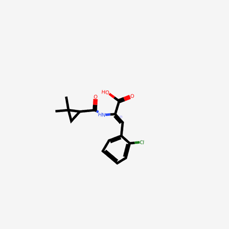 CC1(C)CC1C(=O)N/C(=C\c1ccccc1Cl)C(=O)O